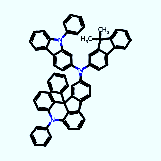 CC1(C)c2ccccc2-c2ccc(N(c3ccc4c(c3)C3(c5ccccc5)c5ccccc5N(c5ccccc5)c5cccc-4c53)c3ccc4c5ccccc5n(-c5ccccc5)c4c3)cc21